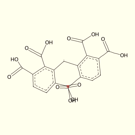 O=C(O)c1ccc(C(=O)O)c(C(=O)O)c1[CH]c1c(C(=O)O)ccc(C(=O)O)c1C(=O)O